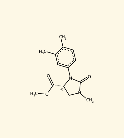 COC(=O)[C@H]1CN(C)C(=O)N1c1ccc(C)c(C)c1